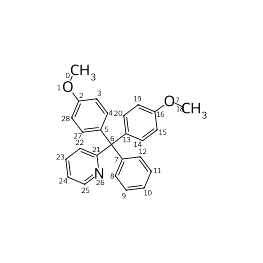 COc1ccc(C(c2ccccc2)(c2ccc(OC)cc2)c2ccccn2)cc1